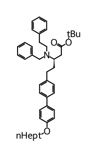 CCCCCCCOc1ccc(-c2ccc(CC[C@H](CC(=O)OC(C)(C)C)N(CCc3ccccc3)Cc3ccccc3)cc2)cc1